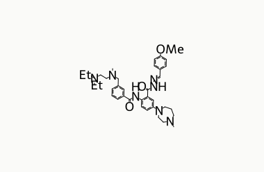 CCN(CC)CCN(C)Cc1cccc(C(=O)Nc2ccc(N3CCCN(C)CC3)cc2C(=O)N/N=C/c2ccc(OC)cc2)c1